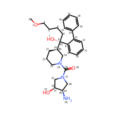 COCCCC[C@@](O)(c1ccccc1-c1ccccc1)[C@@H]1CCCN(C(=O)N2C[C@@H](N)[C@@H](O)C2)C1